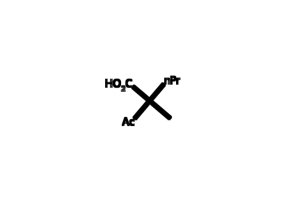 CCCC(C)(C(C)=O)C(=O)O